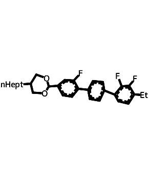 CCCCCCCC1COC(c2ccc(-c3ccc(-c4ccc(CC)c(F)c4F)cc3)c(F)c2)OC1